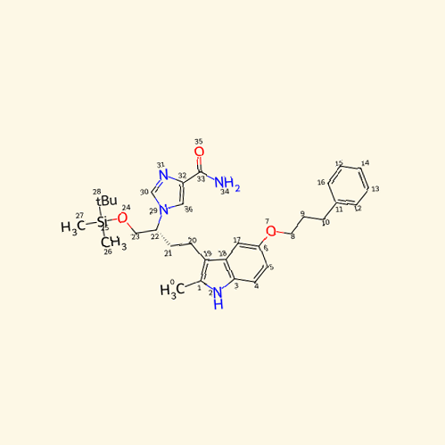 Cc1[nH]c2ccc(OCCCc3ccccc3)cc2c1CC[C@H](CO[Si](C)(C)C(C)(C)C)n1cnc(C(N)=O)c1